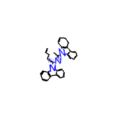 C=CC/C=C(\N=C(/C)n1c2c(c3ccccc31)CCC=C2)n1c2c#cccc2c2ccccc21